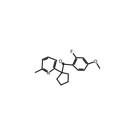 COc1ccc(C(=O)C2(c3cccc(C)n3)CCCC2)c(F)c1